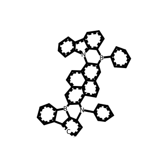 c1ccc(B2c3cc4ccc5c6c(cc7ccc(c3-n3c8ccccc8c8cccc2c83)c4c75)B2c3ccccc3-c3cccc(c32)N6c2ccccc2)cc1